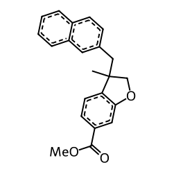 COC(=O)c1ccc2c(c1)OCC2(C)Cc1ccc2ccccc2c1